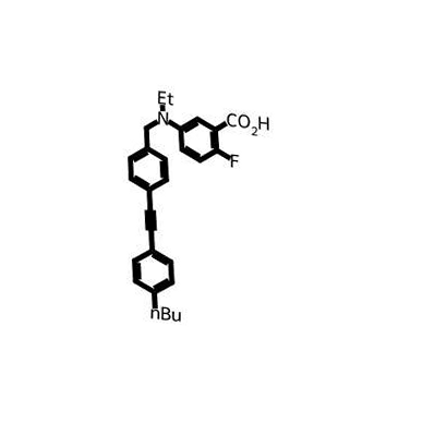 CCCCc1ccc(C#Cc2ccc(CN(CC)c3ccc(F)c(C(=O)O)c3)cc2)cc1